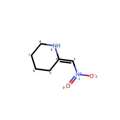 O=[N+]([O-])C=C1[CH]CCCN1